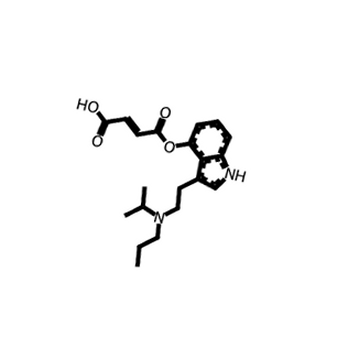 CCCN(CCc1c[nH]c2cccc(OC(=O)/C=C/C(=O)O)c12)C(C)C